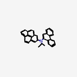 CC(C)N(c1cc2ccc3cccc4ccc(c1)c2c34)c1cc2ccccc2c2ccccc12